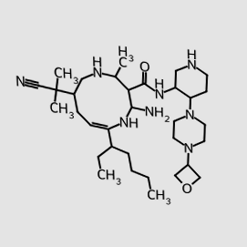 CCCCC(CC)/C1=C/CC(C(C)(C)C#N)CNC(C)C(C(=O)NC2CNCCC2N2CCN(C3COC3)CC2)C(N)N1